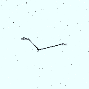 CCCCCCCCCCCCCCCCCCCCCCCCCCCCCCCCCCCCCCCC(=O)OCCCCCCCCCCCCCCCCCCCCCCCCCCCC